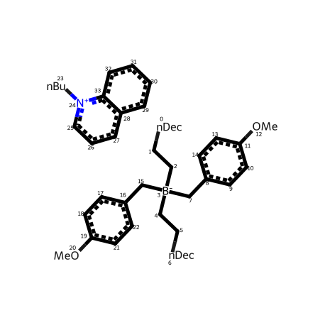 CCCCCCCCCCCC[B-](CCCCCCCCCCCC)(Cc1ccc(OC)cc1)Cc1ccc(OC)cc1.CCCC[n+]1cccc2ccccc21